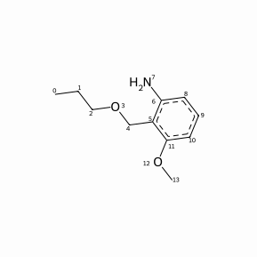 CCCOCc1c(N)cccc1OC